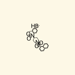 CBc1ccc2c(c1)COC(=O)N2C1CCN(S(=O)(=O)c2cccc3ccccc23)CC1